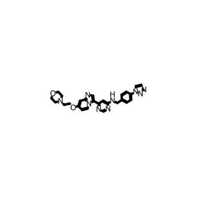 c1cn(-c2ccc(CNc3cc(-c4cnc5cc(OCCN6CCOCC6)ccn45)ncn3)cc2)nn1